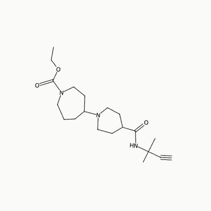 C#CC(C)(C)NC(=O)C1CCN(C2CCCN(C(=O)OCC)CC2)CC1